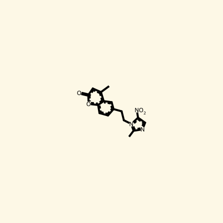 Cc1cc(=O)oc2ccc(CCn3c([N+](=O)[O-])cnc3C)cc12